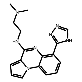 CN(C)CCNc1nc2c(-c3nnc[nH]3)cccc2n2cccc12